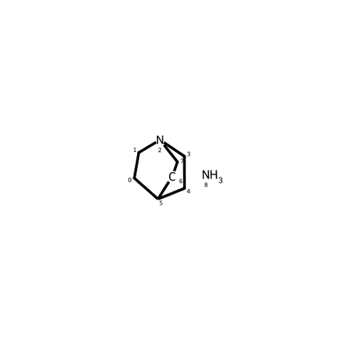 C1CN2CCC1CC2.N